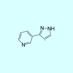 [c]1c[nH]nc1-c1cccnc1